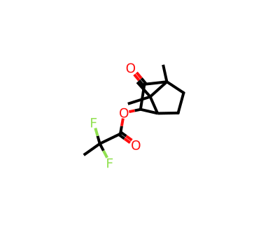 CC(F)(F)C(=O)OC1C(=O)C2(C)CCC1C2(C)C